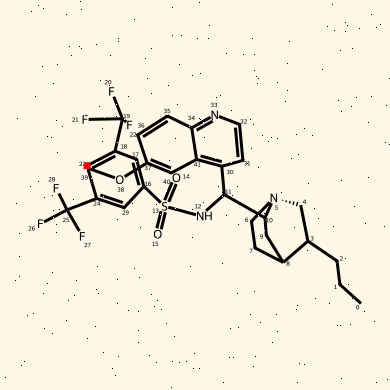 CCCC1C[N@@]2CCC1CC2C(NS(=O)(=O)c1cc(C(F)(F)F)cc(C(F)(F)F)c1)c1ccnc2ccc(OC)cc12